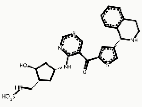 O=C(c1cc([C@H]2NCCc3ccccc32)cs1)c1cncnc1N[C@@H]1C[C@H](CNS(=O)(=O)O)[C@@H](O)C1